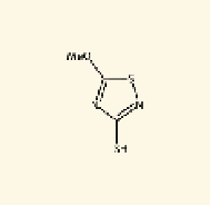 COc1nc(S)ns1